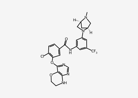 CN1C[C@@H]2C[C@H]1CN2c1cc(NC(=O)c2ccc(Cl)c(Oc3ncnc4c3OCCN4)c2)cc(C(F)(F)F)c1